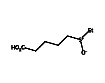 CC[S+]([O-])CCCCC(=O)O